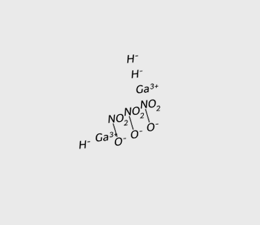 O=[N+]([O-])[O-].O=[N+]([O-])[O-].O=[N+]([O-])[O-].[Ga+3].[Ga+3].[H-].[H-].[H-]